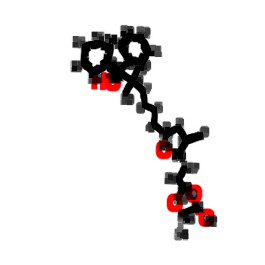 C=C1C[C@H](CCCCC(C)(C)[Si](O)(c2ccccc2)c2ccccc2)O[C@H]1CC[C@H]1OC(=O)[C@H](C)O1